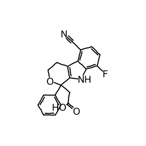 N#Cc1ccc(F)c2[nH]c3c(c12)CCOC3(CC(=O)O)c1ccccc1